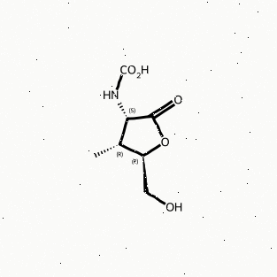 C[C@H]1[C@H](CO)OC(=O)[C@H]1NC(=O)O